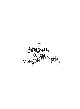 CNc1cc2c(cc1F)nc(-c1nn(COCC[Si](C)(C)C)c3c1C[C@@H]1[C@H](C)[C@]1(C)C3)n2COCC[Si](C)(C)C